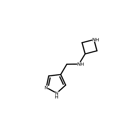 c1n[nH]cc1CNC1CNC1